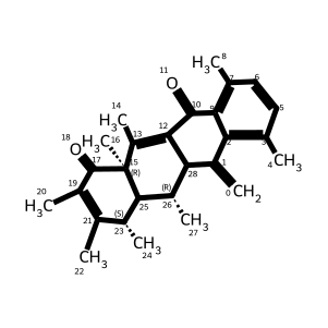 C=C1c2c(C)ccc(C)c2C(=O)C2=C(C)[C@]3(C)C(=O)C(C)=C(C)[C@@H](C)C3[C@@H](C)C12